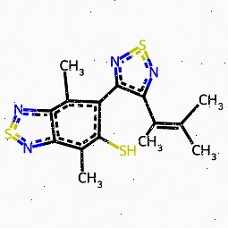 CC(C)=C(C)c1nsnc1-c1c(S)c(C)c2nsnc2c1C